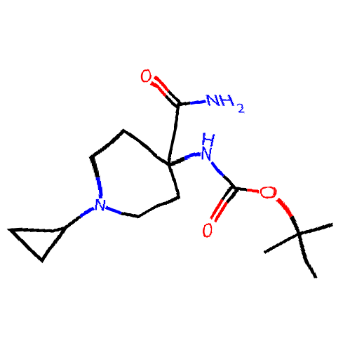 CC(C)(C)OC(=O)NC1(C(N)=O)CCN(C2CC2)CC1